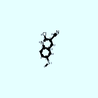 CSc1ccc2nc(Cl)c(C#N)cc2c1